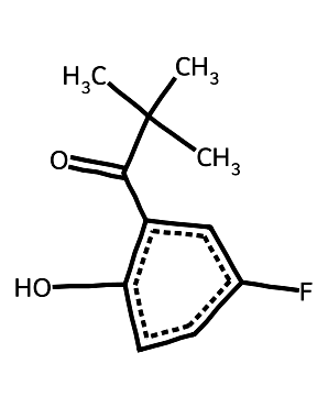 CC(C)(C)C(=O)c1cc(F)ccc1O